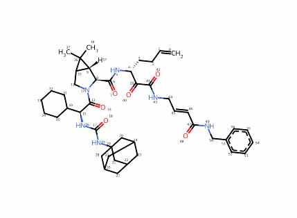 C=CCC[C@@H](NC(=O)[C@@H]1[C@@H]2C(CN1C(=O)[C@@H](NC(=O)NC13CC4CC(CC(C4)C1)C3)C1CCCCC1)C2(C)C)C(=O)C(=O)NC/C=C/C(=O)NCc1ccccc1